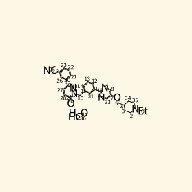 CCN1CCC(COc2cnc(-c3cccc(Cn4nc(-c5cccc(C#N)c5)ccc4=O)c3)nc2)CC1.Cl.O